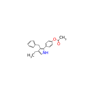 CCc1c[nH]c(-c2ccc(OC(C)=O)cc2)c1Cc1ccccc1